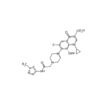 COc1c(N2CCN(CC(=O)Nc3cnc(C)s3)CC2)c(F)cc2c(=O)c(C(=O)O)cn(C3CC3)c12